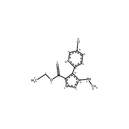 CCOC(=O)c1nnn(PC)c1-c1ccc(Cl)cn1